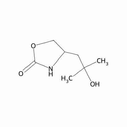 CC(C)(O)CC1COC(=O)N1